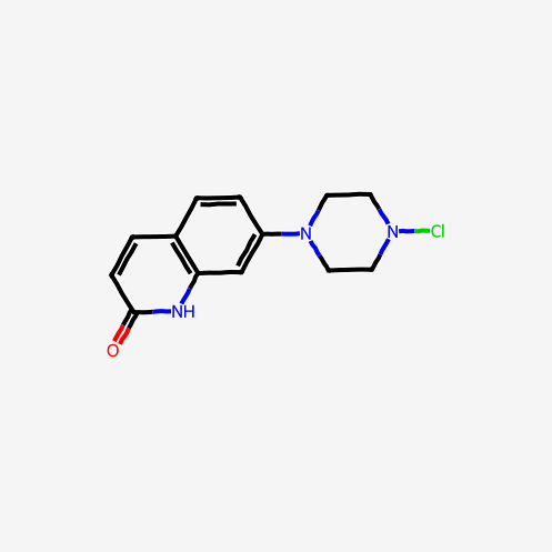 O=c1ccc2ccc(N3CCN(Cl)CC3)cc2[nH]1